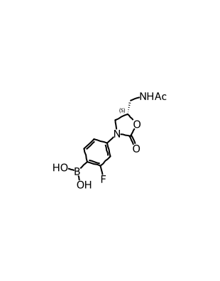 CC(=O)NC[C@H]1CN(c2ccc(B(O)O)c(F)c2)C(=O)O1